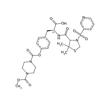 COC(=O)N1CCN(C(=O)Oc2ccc(C[C@H](NC(=O)C3N(S(=O)(=O)c4cccnc4)CSC3(C)C)C(=O)O)cc2)CC1